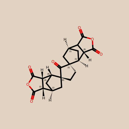 O=C1OC(=O)[C@H]2C1[C@H]1C[C@@H]2[C@]2(CC[C@]3(C[C@@H]4C[C@@H]3[C@H]3C(=O)OC(=O)[C@@H]43)C2=O)C1